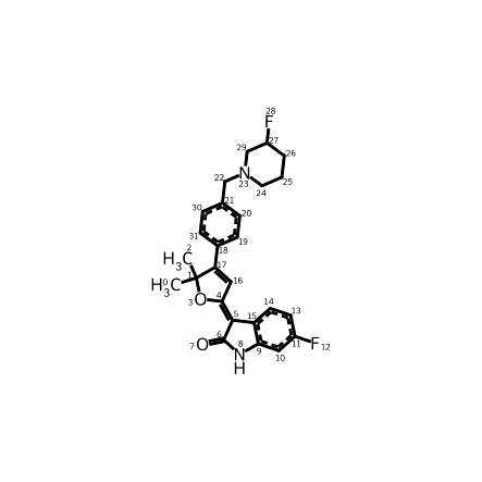 CC1(C)OC(=C2C(=O)Nc3cc(F)ccc32)C=C1c1ccc(CN2CCCC(F)C2)cc1